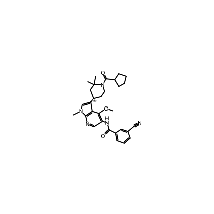 COc1c(NC(=O)c2cccc(C#N)c2)cnc2c1c([C@@H]1CCN(C(=O)C3CCCC3)C(C)(C)C1)cn2C